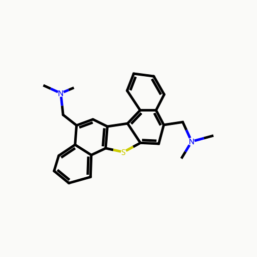 CN(C)Cc1cc2c(sc3cc(CN(C)C)c4ccccc4c32)c2ccccc12